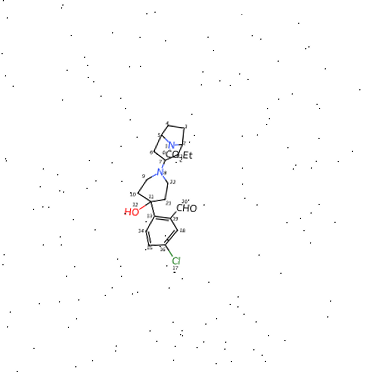 CCOC(=O)N1C2CCC1CC(N1CCC(O)(c3ccc(Cl)cc3C=O)CC1)C2